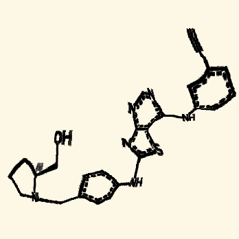 C#Cc1cccc(Nc2ncnc3nc(Nc4ccc(CN5CCC[C@H]5CO)cc4)sc23)c1